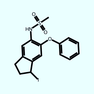 CS(=O)(=O)Nc1cc2c(cc1Oc1ccccc1)C(I)CC2